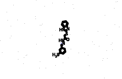 BC1=CC(/C=N/NC(=O)CSc2nc3ccccc3[nH]2)CC=C1